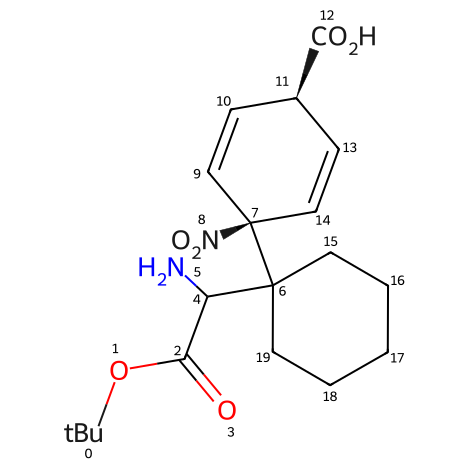 CC(C)(C)OC(=O)C(N)C1([C@]2([N+](=O)[O-])C=C[C@@H](C(=O)O)C=C2)CCCCC1